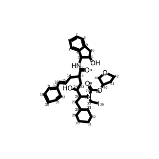 O=C(NC1c2ccccc2CC1O)C(CC=Cc1ccccc1)CC(O)C(CC1CCCCC1)N(CI)C(=O)OC1CCOC1